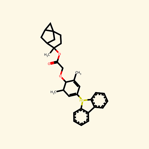 CC1=CC([SH]2c3ccccc3-c3ccccc32)=CC(C)C1OCC(=O)OC1(C)CCC23CC2CC1C3